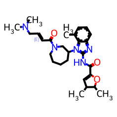 Cc1cccc2nc(NC(=O)C3=CC(C)C(C)O3)n(C3CCCCN(C(=O)/C=C/CN(C)C)C3)c12